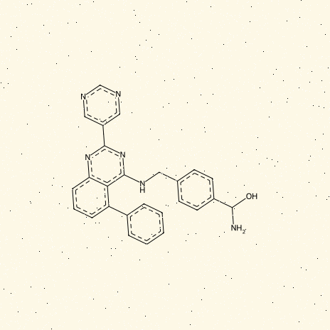 NC(O)c1ccc(CNc2nc(-c3cncnc3)nc3cccc(-c4ccccc4)c23)cc1